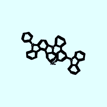 N#Cc1cc(-c2ccccc2-n2c3ccccc3c3c4c5ccccc5n(-c5ccccc5)c4ccc32)cc(-n2c3ccccc3c3ccccc32)c1